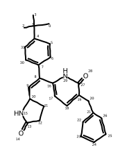 CC(C)(C)c1ccc(C(=C[C@H]2CCC(=O)N2)c2ccc(Cc3ccccc3)c(=O)[nH]2)cc1